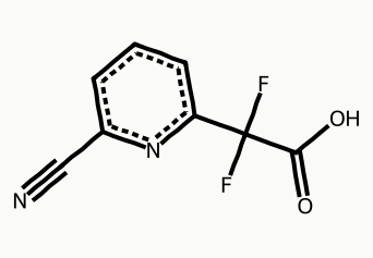 N#Cc1cccc(C(F)(F)C(=O)O)n1